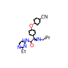 CCc1nccc(NC(=O)C(=CNCC(C)C)c2ccc(Oc3ccc(C#N)cc3)cc2)n1